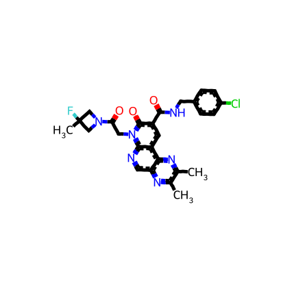 Cc1nc2cnc3c(cc(C(=O)NCc4ccc(Cl)cc4)c(=O)n3CC(=O)N3CC(C)(F)C3)c2nc1C